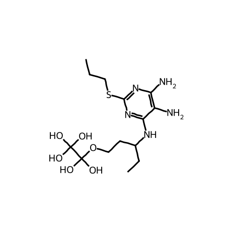 CCCSc1nc(N)c(N)c(NC(CC)CCOC(O)(O)C(O)(O)O)n1